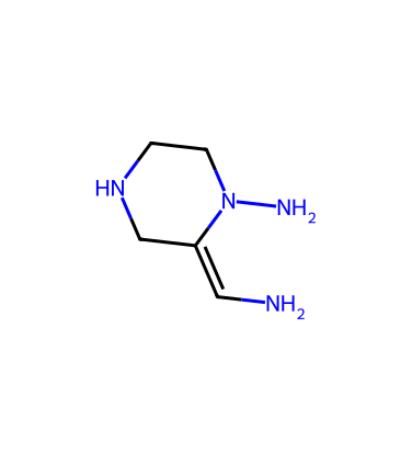 N/C=C1/CNCCN1N